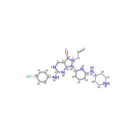 C=CCn1c(=O)c2cnc(Nc3ccc(F)cc3)nc2n1-c1cccc(NC2CCNCC2)n1